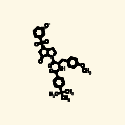 COc1ccc(CC(NC(=O)c2ccc(C(C)(C)C)cc2)C(=O)N2CCC3C2C(=O)CN3S(=O)(=O)c2ccc[n+]([O-])c2)cc1